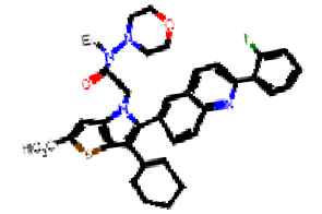 CCN(C(=O)Cn1c(-c2ccc3nc(-c4ccccc4F)ccc3c2)c(C2CCCCC2)c2sc(C(=O)O)cc21)N1CCOCC1